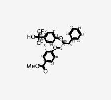 COC(=O)c1ccc(OC[C@@H](Cc2ccccc2)Oc2ccc(C(O)(C(F)(F)F)C(F)(F)F)cc2)cc1